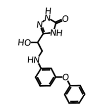 O=c1[nH]nc(C(O)CNc2cccc(Oc3ccccc3)c2)[nH]1